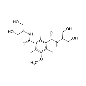 COc1c(I)c(C(=O)NC(CO)CO)c(I)c(C(=O)NC(CO)CO)c1I